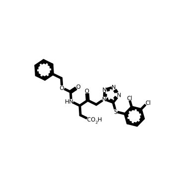 O=C(O)CC(NC(=O)OCc1ccccc1)C(=O)Cn1nnnc1Sc1cccc(Cl)c1Cl